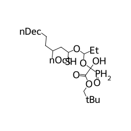 CCCCCCCCCCCCC(CCCCCCCC)CC(S)OC(CC)OC(O)([PH2]=O)C(=O)OCC(C)(C)C